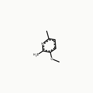 Bc1nc(C)ccc1OC